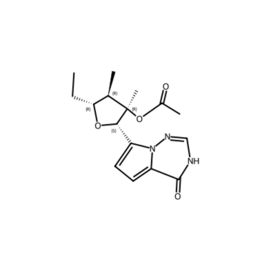 CC[C@H]1O[C@@H](c2ccc3c(=O)[nH]cnn23)[C@](C)(OC(C)=O)[C@@H]1C